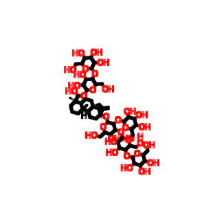 C=C1C[C@@]23CCC4[C@](C)(C(O)OC5OC(CO)C(OC6OC(CO)C(O)C(O)C6O)C(O)C5O)CCC[C@@]4(C)[C@@H]2CC[C@]1(OC1OC(CO)C(O)C(OC2OC(CO)C(OC4OC(CO)C(O)C(O)C4O)C(O)C2O)C1OC1OC(CO)C(O)C(O)C1O)C3